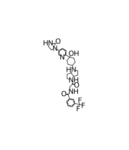 O=C(NCC(=O)N1CC[C@@H]2[C@H]1CCN2C1CCC(O)(c2ccc(N3CCNC3=O)cn2)CC1)c1cccc(C(F)(F)F)c1